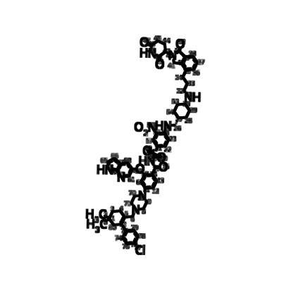 CC1(C)CCC(CN2CCN(c3ccc(C(=O)NS(=O)(=O)c4ccc(NC[C@H]5CC[C@@H](NCCCc6cccc7c6CN(C6CCC(=O)NC6=O)C7=O)CC5)c([N+](=O)[O-])c4)c(Oc4cnc5[nH]ccc5c4)c3)CC2)=C(c2ccc(Cl)cc2)C1